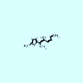 C=C/C=C\C(CC)=C(/C)c1ccc(C)s1